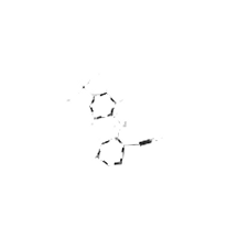 N#Cc1ccccc1Nc1ccc(C(F)(F)F)cc1